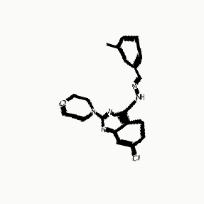 Cc1cccc(C=NNc2nc(N3CCOCC3)nc3cc(Cl)ccc23)c1